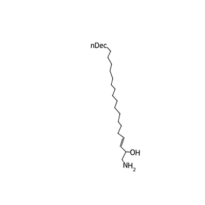 CCCCCCCCCCCCCCCCCCCCCCCCC=CC(O)CN